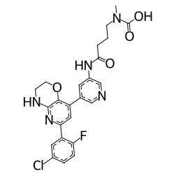 CN(CCCC(=O)Nc1cncc(-c2cc(-c3cc(Cl)ccc3F)nc3c2OCCN3)c1)C(=O)O